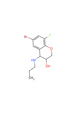 CCCNC1c2cc(Br)cc(F)c2OCC1O